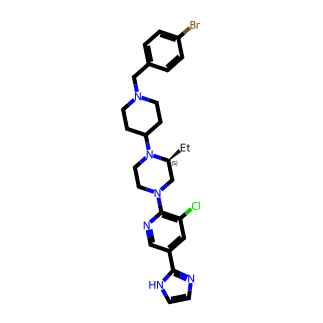 CC[C@H]1CN(c2ncc(-c3ncc[nH]3)cc2Cl)CCN1C1CCN(Cc2ccc(Br)cc2)CC1